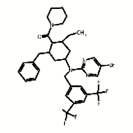 CCC1CC(N(Cc2cc(C(F)(F)F)cc(C(F)(F)F)c2)c2ncc(Br)cn2)CC(Cc2ccccc2)C1C(=O)N1CCCCC1